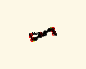 C=CC(=O)OCCOC(=O)Sc1ccc(C#Cc2ccc(OCc3ccc4cc(C#Cc5ccc(SC(=O)OCCOC(=O)C=C)cc5)ccc4c3)c(C(=O)OC)c2)cc1